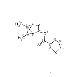 CC1C2CC(OC(=O)C3CCCCC3)C(C2)C1C